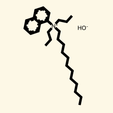 CCCCCCCCCCCC[N+](CCC)(CCC)c1cccc2ccccc12.[OH-]